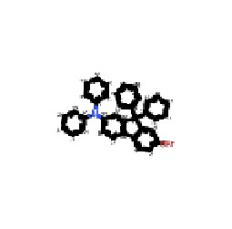 Brc1ccc2c(c1)C(c1ccccc1)(c1ccccc1)c1cc(N(c3ccccc3)c3ccccc3)ccc1-2